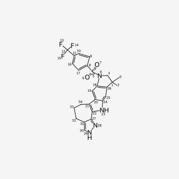 CC1(C)CN(S(=O)(=O)c2ccc(C(F)(F)F)cc2)c2cc3c4c([nH]c3cc21)-c1n[nH]cc1CCC4